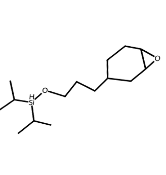 CC(C)[SiH](OCCCC1CCC2OC2C1)C(C)C